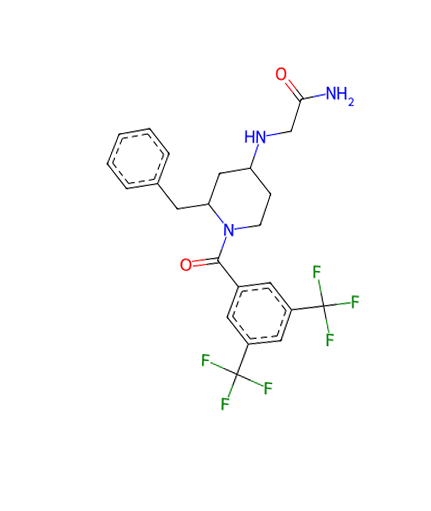 NC(=O)CNC1CCN(C(=O)c2cc(C(F)(F)F)cc(C(F)(F)F)c2)C(Cc2ccccc2)C1